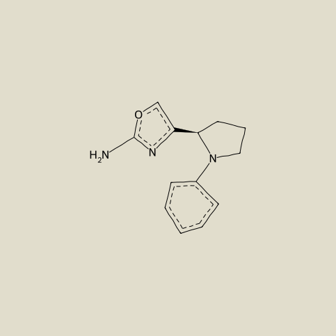 Nc1nc([C@H]2CCCN2c2ccccc2)co1